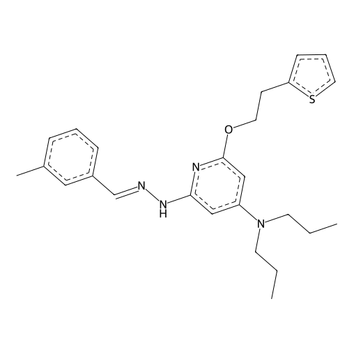 CCCN(CCC)c1cc(N/N=C/c2cccc(C)c2)nc(OCCc2cccs2)c1